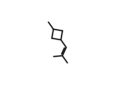 C[C]1CC(C=C(C)C)C1